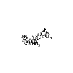 N=C(C(=O)N1CCC(C2=CC=C(F)C(F)=C(C(F)(F)F)C2)CC1)C1=C(N)CN(C(=O)c2ccncc2)C1